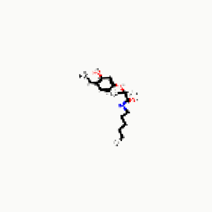 CCCCCCNC(=O)C(C)(C)Oc1ccc(CC)c(O)c1